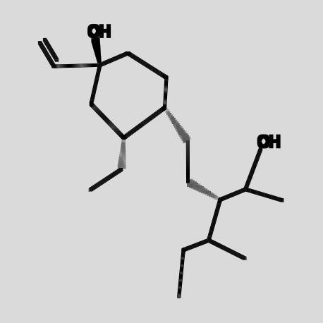 C=C[C@]1(O)CC[C@H](CC[C@H](C(C)O)C(C)CC)[C@H](CC)C1